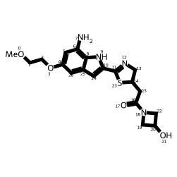 COCCOc1cc(N)c2[nH]c(C3=NCC(CC(=O)N4CC(O)C4)S3)cc2c1